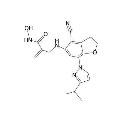 C=C(CNc1cc(-n2ccc(C(C)C)n2)c2c(c1C#N)CCO2)C(=O)NO